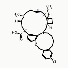 CO[C@H]1/C=C/CCN(C)C(=O)C[C@@H](C(=O)O)c2ccc3c(c2)N(CCCCc2cc(Cl)ccc2CO3)C[C@@H]2CC[C@H]21